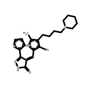 Cc1[nH]c(/C=C2/C(=O)NN=C2c2cccs2)c(C(C)C)c1CCCCN1CCCCC1